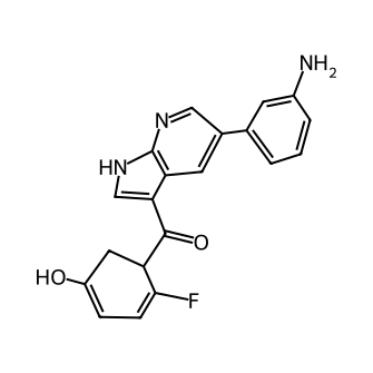 Nc1cccc(-c2cnc3[nH]cc(C(=O)C4CC(O)=CC=C4F)c3c2)c1